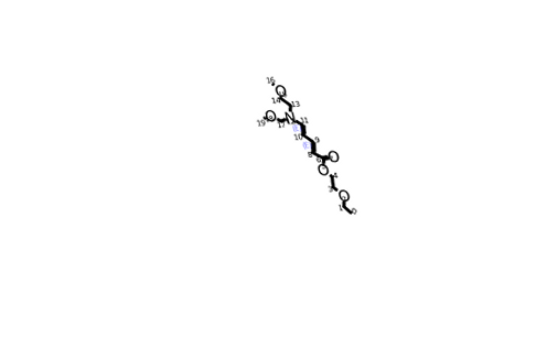 CCOCCOC(=O)/C=C/C=C/N(CCOC)COC